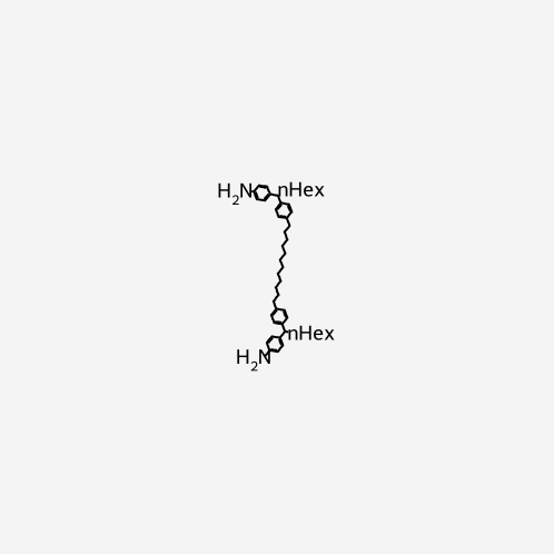 CCCCCCC(c1ccc(N)cc1)c1ccc(CCCCCCCCCCCCc2ccc(C(CCCCCC)c3ccc(N)cc3)cc2)cc1